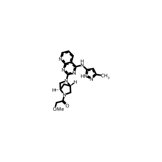 COCC(=O)N1C[C@@H]2C[C@@H]1CN2c1nc(Nc2cc(C)n[nH]2)c2cccnc2n1